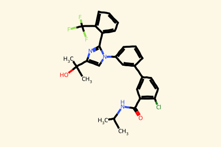 CC(C)NC(=O)c1cc(-c2cccc(-n3cc(C(C)(C)O)nc3-c3ccccc3C(F)(F)F)c2)ccc1Cl